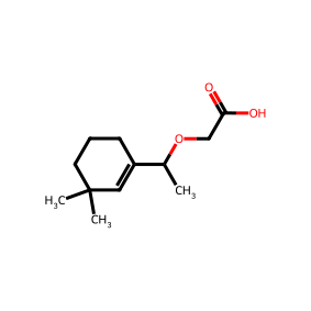 CC(OCC(=O)O)C1=CC(C)(C)CCC1